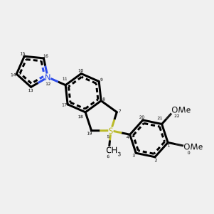 COc1ccc(S2(C)Cc3ccc(-n4cccc4)cc3C2)cc1OC